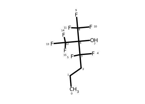 CCCC(F)(F)C(O)(C(F)(F)F)C(F)(F)F